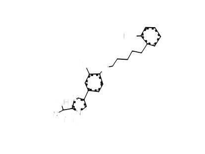 [CH2][C@@](C)(N)c1ncc(-c2ccc(OCCCCCc3ccccc3C(F)(F)F)c(C(F)(F)F)c2)s1